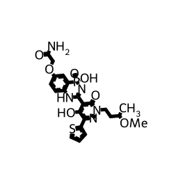 COC(C)CCn1nc(-c2cccs2)c(O)c(C2=NP(=O)(O)c3cc(OCC(N)=O)ccc3N2)c1=O